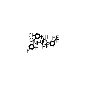 O=C(C[C@@H](c1cccc(C(F)(F)F)c1)C(F)(F)F)Nc1ccc(Cl)c(C(=O)Nc2ccc(F)cc2F)c1